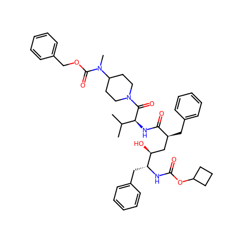 CC(C)[C@H](NC(=O)[C@@H](Cc1ccccc1)C[C@H](O)[C@@H](Cc1ccccc1)NC(=O)OC1CCC1)C(=O)N1CCC(N(C)C(=O)OCc2ccccc2)CC1